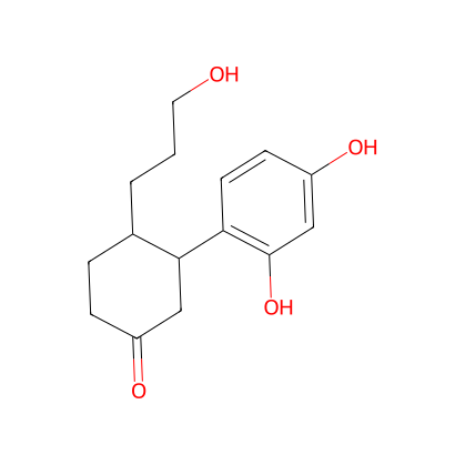 O=C1CCC(CCCO)C(c2ccc(O)cc2O)C1